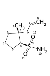 C=CC[C@@]1(C)CCC[C@@H]1S(N)(=O)=O